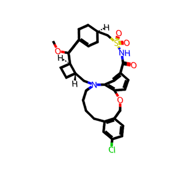 COC1C2=CC[C@@H](CC2)CS(=O)(=O)NC(=O)c2ccc3c(c2)N(CCCCc2cc(Cl)ccc2CO3)C[C@@H]2CC[C@@H]12